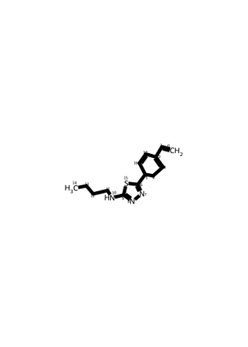 C=CC1=CCC(c2nnc(NCCCC)s2)C=C1